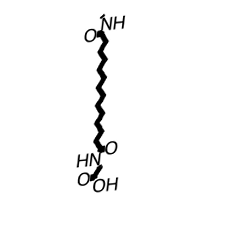 CNC(=O)CCCCCCCCCCCCC(=O)NCC(=O)O